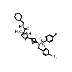 C[C@@]1(C(=O)NCC2CCCCC2)CN=C(C23CC(N(Cc4ccc(C(F)(F)F)cc4)S(=O)(=O)c4ccc(F)cc4)(C2)C3)N1